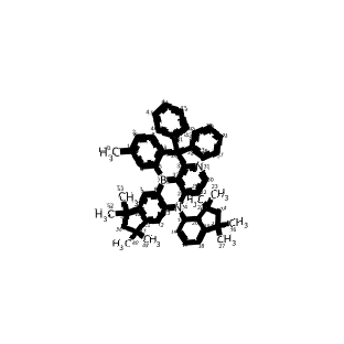 Cc1ccc2c(c1)B1c3cc4c(cc3N(C3C=CC=C5C3C(C)(C)CC5(C)C)c3ccnc(c31)C2(c1ccccc1)c1ccccc1)C(C)(C)CC4(C)C